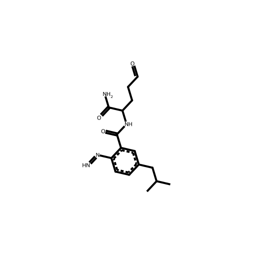 CC(C)Cc1ccc(N=N)c(C(=O)NC(CCC=O)C(N)=O)c1